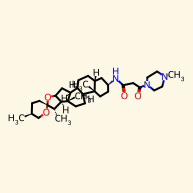 C[C@H]1CC[C@@]2(OC1)OC1C[C@H]3[C@@H]4CC[C@@H]5C[C@@H](NC(=O)CC(=O)N6CCN(C)CC6)CC[C@]5(C)[C@H]4CC[C@]3(C)[C@H]1[C@@H]2C